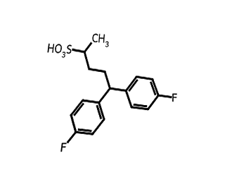 CC(CCC(c1ccc(F)cc1)c1ccc(F)cc1)S(=O)(=O)O